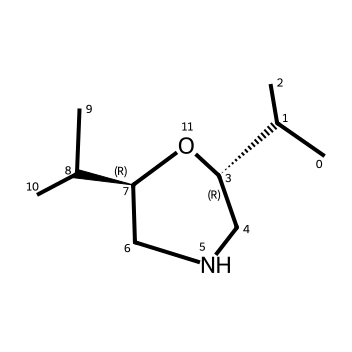 CC(C)[C@@H]1CNC[C@@H](C(C)C)O1